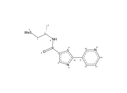 CSC[C@H](C)NC(=O)c1cnc(-c2cccnc2)s1